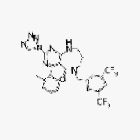 Cc1ccccc1-c1nc(-n2cnnn2)nc2c1C(=O)N(Cc1cc(C(F)(F)F)cc(C(F)(F)F)c1)CCCN2